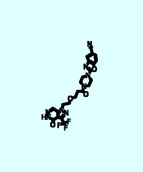 N#Cc1ccc2oc(N3CCN(C(=O)CCOCCn4nc(C(F)(F)F)c5c(=O)[nH]ncc54)CC3)nc2c1